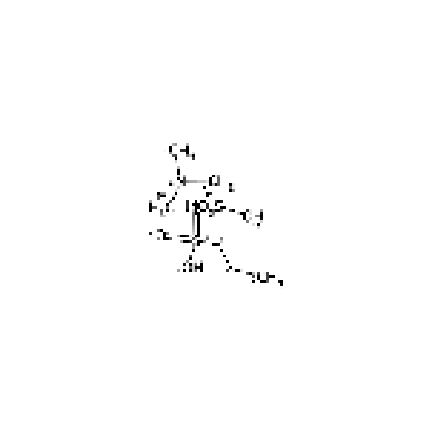 CCCS(=O)(=O)O.CN(C)C.O=S(=O)(O)O